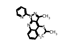 Cc1nn(-c2ccccn2)c2nc3ccccc3c(SC(C)C)c12